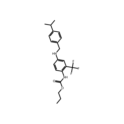 CCCOC(=O)Nc1ccc(NCc2ccc(C(C)C)cc2)cc1C(F)(F)F